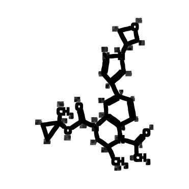 CC(=O)N1c2ccc(-c3cnn(C4COC4)c3)cc2N(C(=O)OC2(C)CC2)CC1C